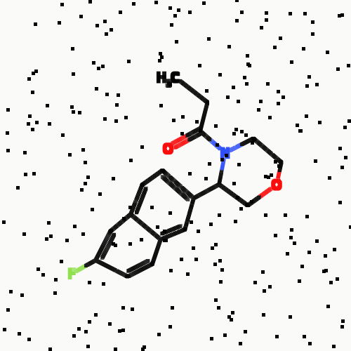 CCC(=O)N1CCOCC1c1ccc2cc(F)ccc2c1